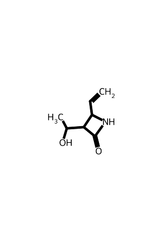 C=CC1NC(=O)C1C(C)O